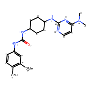 COc1ccc(NC(=O)NC2CCC(Nc3nccc(N(C)C)n3)CC2)cc1OC